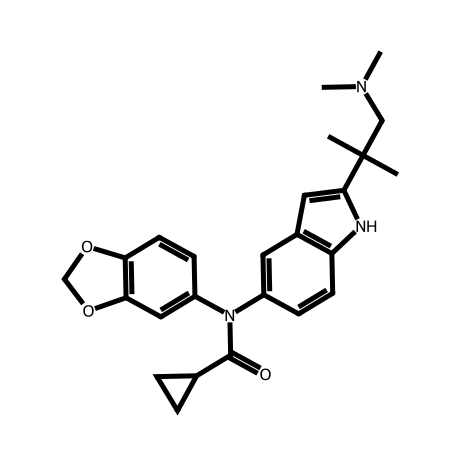 CN(C)CC(C)(C)c1cc2cc(N(C(=O)C3CC3)c3ccc4c(c3)OCO4)ccc2[nH]1